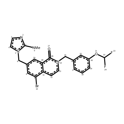 CNc1nccn1Cc1cc(Br)c2ccn(Cc3cccc(OC(F)F)c3)c(=O)c2c1